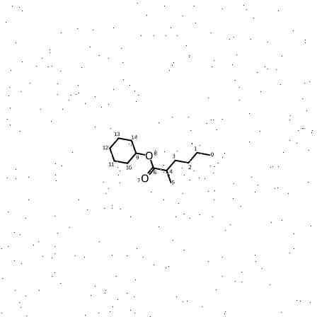 CCCC[C](C)C(=O)OC1CCCCC1